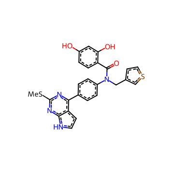 CSc1nc(-c2ccc(N(Cc3ccsc3)C(=O)c3ccc(O)cc3O)cc2)c2cc[nH]c2n1